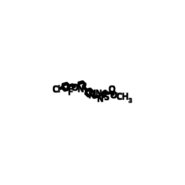 CCOC(=O)c1cc2[nH]c(CN3CC=C(c4cccc(OCc5ccc(Cl)cc5F)n4)CC3)nc2s1